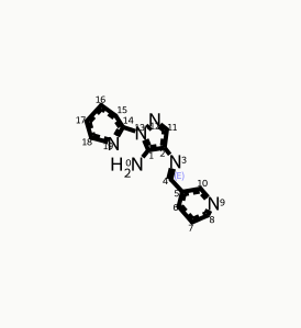 Nc1c(/N=C/c2cccnc2)cnn1-c1ccccn1